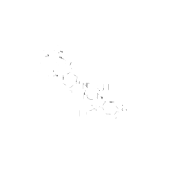 CN1c2ccc(N)cc2N(C)C1N=Nc1ccc(N2CCC(O)C2C(=O)O)cc1